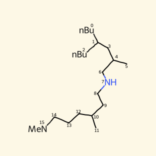 CCCCC(CCCC)CC(C)CNCCC(C)CCCNC